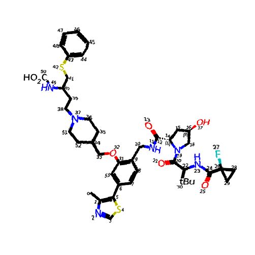 Cc1ncsc1-c1ccc(CNC(=O)[C@@H]2C[C@@H](O)CN2C(=O)C(NC(=O)C2(F)CC2)C(C)(C)C)c(OCC2CCN(CCC(CSc3ccccc3)NC(=O)O)CC2)c1